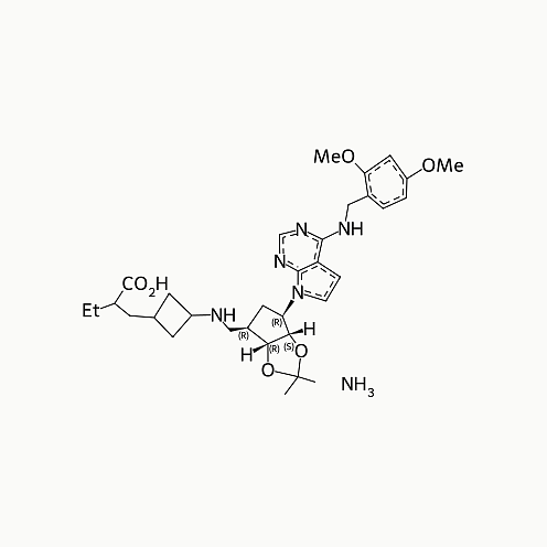 CCC(CC1CC(NC[C@H]2C[C@@H](n3ccc4c(NCc5ccc(OC)cc5OC)ncnc43)[C@@H]3OC(C)(C)O[C@H]23)C1)C(=O)O.N